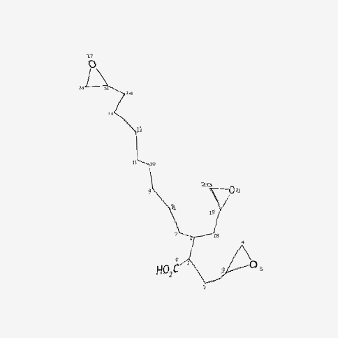 O=C(O)C(CC1CO1)C(CCCCCCCCC1CO1)CC1CO1